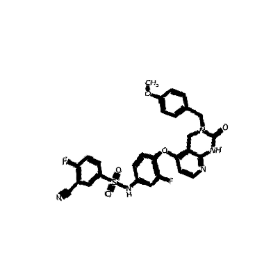 COc1ccc(CN2Cc3c(Oc4ccc(NS(=O)(=O)c5ccc(F)c(C#N)c5)cc4F)ccnc3NC2=O)cc1